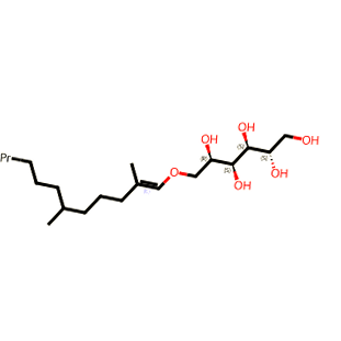 C/C(=C\OC[C@@H](O)[C@H](O)[C@@H](O)[C@@H](O)CO)CCCC(C)CCCC(C)C